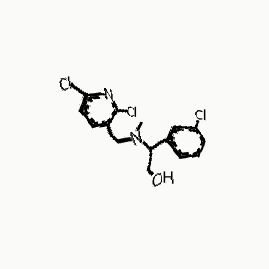 CN(Cc1ccc(Cl)nc1Cl)C(CO)c1cccc(Cl)c1